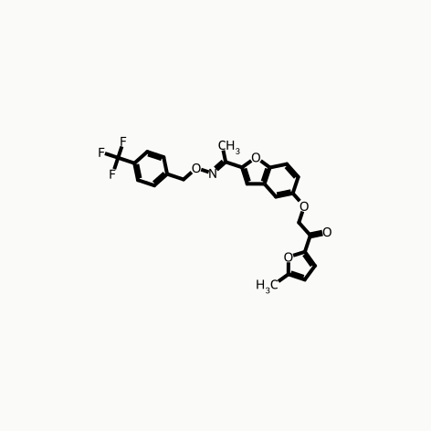 CC(=NOCc1ccc(C(F)(F)F)cc1)c1cc2cc(OCC(=O)c3ccc(C)o3)ccc2o1